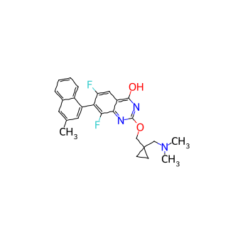 Cc1cc(-c2c(F)cc3c(O)nc(OCC4(CN(C)C)CC4)nc3c2F)c2ccccc2c1